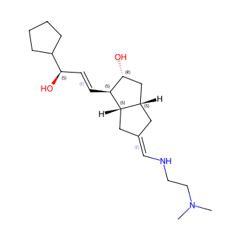 CN(C)CCN/C=C1\C[C@H]2C[C@@H](O)[C@H](/C=C/[C@@H](O)C3CCCC3)[C@H]2C1